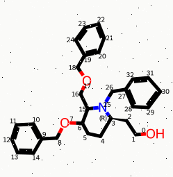 OCC[C@H]1CCC(OCc2ccccc2)C(COCc2ccccc2)N1Cc1ccccc1